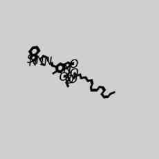 CC/C=C\C/C=C\C/C=C\C/C=C\CCCCC(=O)OC(C(=O)OCC)N1C(=O)Cc2cc(CCN3CCN(c4nsc5ccccc45)CC3)c(C)cc21